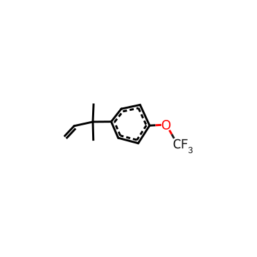 C=CC(C)(C)c1ccc(OC(F)(F)F)cc1